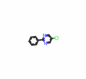 Clc1cnc(-c2cc[c]cc2)nc1